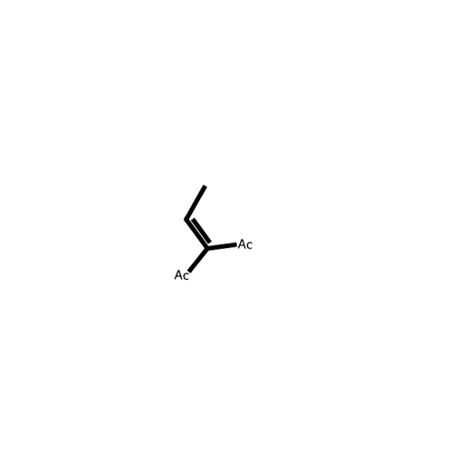 CC=C(C(C)=O)C(C)=O